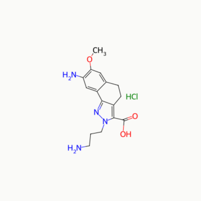 COc1cc2c(cc1N)-c1nn(CCCN)c(C(=O)O)c1CC2.Cl